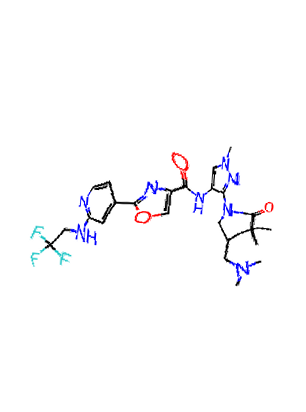 CN(C)CC1CN(c2nn(C)cc2NC(=O)c2coc(-c3ccnc(NCC(F)(F)F)c3)n2)C(=O)C1(C)C